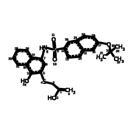 C=C(O)CSc1cc(NS(=O)(=O)c2ccc3cc(OC(C)(C)C)ccc3c2)c2ccccc2c1O